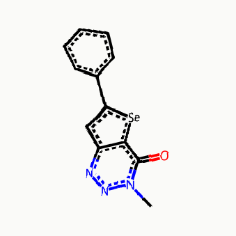 Cn1nnc2cc(-c3ccccc3)[se]c2c1=O